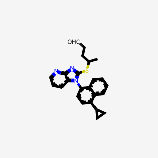 CC(CCC=O)Sc1nc2ncccc2n1-c1ccc(C2CC2)c2ccccc12